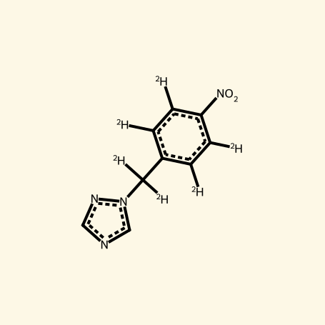 [2H]c1c([2H])c(C([2H])([2H])n2cncn2)c([2H])c([2H])c1[N+](=O)[O-]